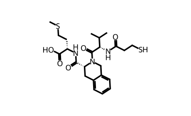 CSCC[C@H](NC(=O)[C@H]1Cc2ccccc2CN1C(=O)[C@@H](NC(=O)CCS)C(C)C)C(=O)O